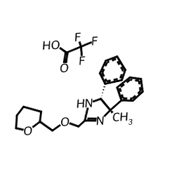 C[C@@]1(c2ccccc2)N=C(COCC2CCCCO2)N[C@@H]1c1ccccc1.O=C(O)C(F)(F)F